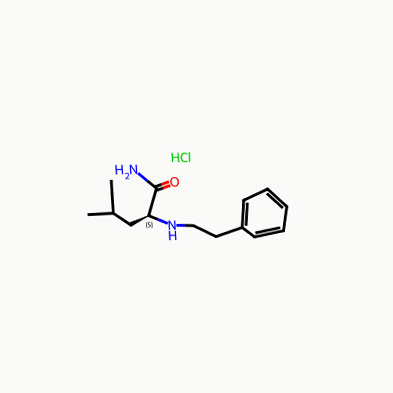 CC(C)C[C@H](NCCc1ccccc1)C(N)=O.Cl